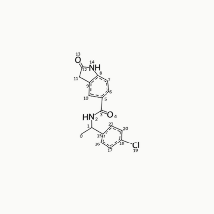 CC(NC(=O)c1ccc2c(c1)CC(=O)N2)c1ccc(Cl)cc1